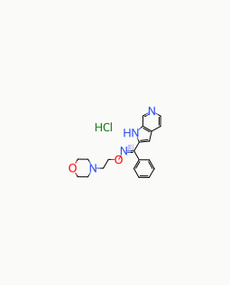 Cl.c1ccc(/C(=N\OCCN2CCOCC2)c2cc3ccncc3[nH]2)cc1